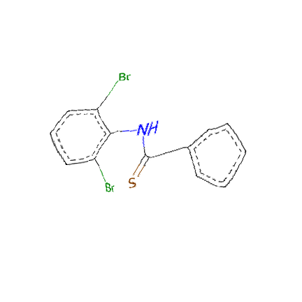 S=C(Nc1c(Br)cccc1Br)c1ccccc1